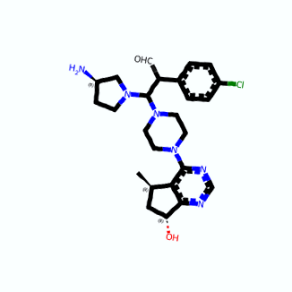 C[C@@H]1C[C@@H](O)c2ncnc(N3CCN(C(C(C=O)c4ccc(Cl)cc4)N4CC[C@@H](N)C4)CC3)c21